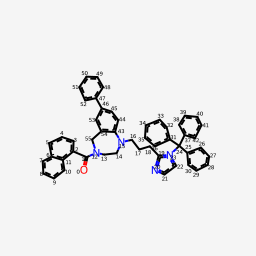 O=C(c1cccc2ccccc12)N1CCN(CCCc2nccn2C(c2ccccc2)(c2ccccc2)c2ccccc2)c2ccc(-c3ccccc3)cc2C1